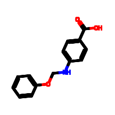 O=C(O)c1ccc(NCOc2ccccc2)cc1